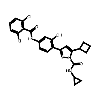 O=C(Nc1ccc(-c2cc(C3CCC3)n(C(=O)NC3CC3)n2)c(O)c1)c1c(Cl)cccc1Cl